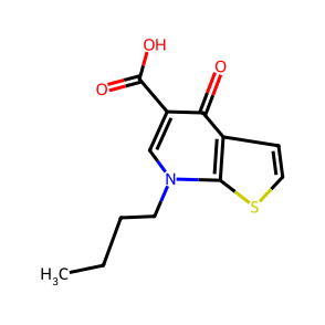 CCCCn1cc(C(=O)O)c(=O)c2ccsc21